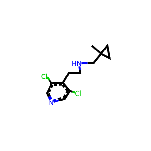 CC1(CNCCc2c(Cl)cncc2Cl)CC1